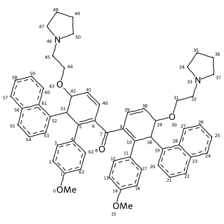 COc1ccc(C2=C(C(=O)C3=C(c4ccc(OC)cc4)C(c4cccc5ccccc45)C(OCCN4CCCC4)C=C3)C=CC(OCCN3CCCC3)C2c2cccc3ccccc23)cc1